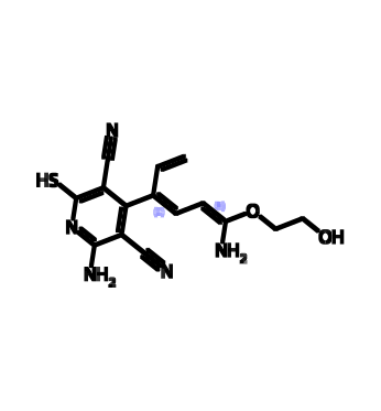 C=C/C(=C\C=C(/N)OCCO)c1c(C#N)c(N)nc(S)c1C#N